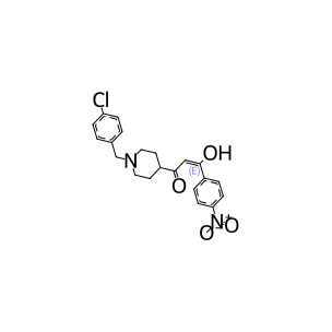 O=C(/C=C(/O)c1ccc([N+](=O)[O-])cc1)C1CCN(Cc2ccc(Cl)cc2)CC1